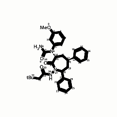 COc1cccc(N(C(N)=O)[C@@H]2C[C@@H](c3ccccc3)CC(c3ccccc3)N(NC(=O)CC(C)(C)C)C2=O)c1